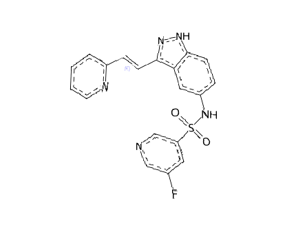 O=S(=O)(Nc1ccc2[nH]nc(/C=C/c3ccccn3)c2c1)c1cncc(F)c1